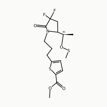 COC(=O)c1ccc(CCCN2C(=O)C(F)(F)CC2[C@@H](C)OSC)s1